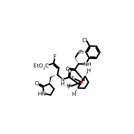 CCOC(=O)/C(F)=C\[C@@H](C[C@H]1CCNC1=O)NC(=O)[C@@H]1[C@@H]2CC[C@@H](CC2(F)F)N1C(=O)[C@H](CC(C)C)Nc1cccc(Cl)c1